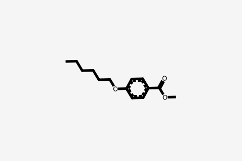 CCCCCCOc1ccc(C(=O)OC)cc1